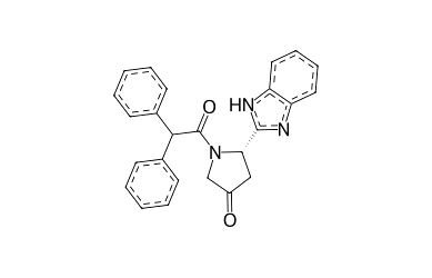 O=C1C[C@@H](c2nc3ccccc3[nH]2)N(C(=O)C(c2ccccc2)c2ccccc2)C1